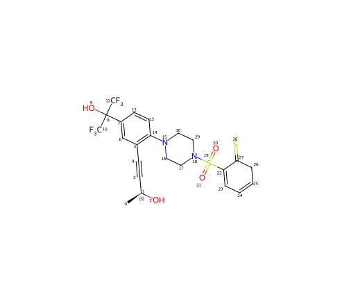 C[C@H](O)C#Cc1cc(C(O)(C(F)(F)F)C(F)(F)F)ccc1N1CCN(S(=O)(=O)C2=CC=CCC2=S)CC1